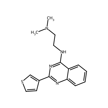 CN(C)CCNc1nc(-c2ccsc2)nc2ccccc12